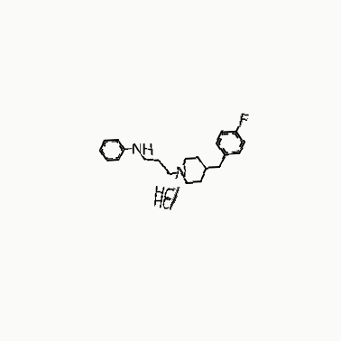 Cl.Cl.Fc1ccc(CC2CCN(CCCNc3ccccc3)CC2)cc1